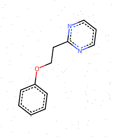 [c]1ccc(OCCc2ncccn2)cc1